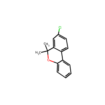 CC1(C)Oc2ccccc2-c2ccc(Cl)cc21